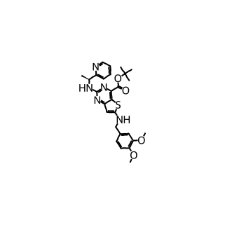 COc1ccc(CNc2cc3nc(N[C@@H](C)c4ccccn4)nc(C(=O)OC(C)(C)C)c3s2)cc1OC